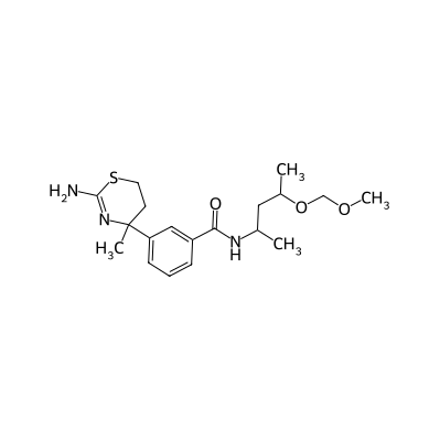 COCOC(C)CC(C)NC(=O)c1cccc(C2(C)CCSC(N)=N2)c1